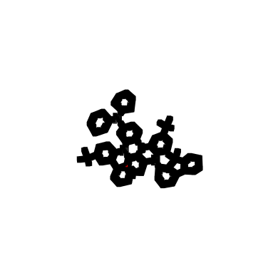 Cc1cc2c3c(c1)N(c1cccc4c1C(C)(C)c1ccccc1-4)c1ccc(C(C)(C)C)cc1B3c1ccc(N(c3ccccc3)c3ccccc3)cc1N2c1ccc(C(C)(C)C)cc1-c1ccccc1